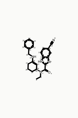 CCN(C(=O)c1nc2cc(C#N)ccc2[nH]1)[C@@H]1C=C(NCc2ccccc2)CCC1